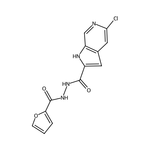 O=C(NNC(=O)c1ccco1)c1cc2cc(Cl)ncc2[nH]1